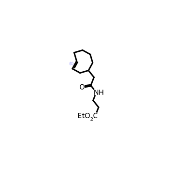 CCOC(=O)CCNC(=O)CC1C/C=C/CCCC1